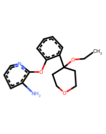 CCOC1(c2ccccc2Oc2ncccc2N)CCOCC1